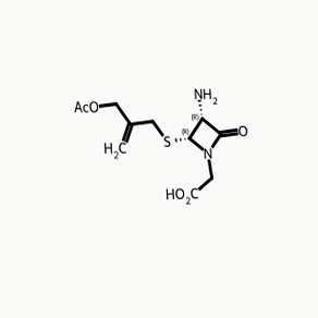 C=C(COC(C)=O)CS[C@@H]1[C@H](N)C(=O)N1CC(=O)O